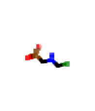 O=[SH](=O)CNCCl